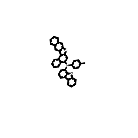 Cc1ccc(N(c2cc3sc4cc5ccccc5cc4c3c3ccccc23)c2cccc3c2oc2ccccc23)cc1